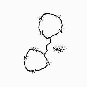 C1C[N-]CC[N-]CC(CCCC2C[N-]CC[N-]CCC[N-]CC[N-]C2)C[N-]CC[N-]C1.[Ni+2].[Ni+2]